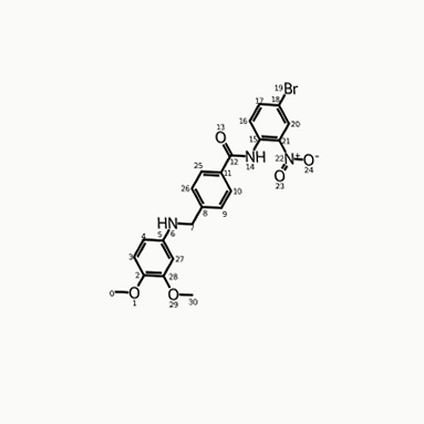 COc1ccc(NCc2ccc(C(=O)Nc3ccc(Br)cc3[N+](=O)[O-])cc2)cc1OC